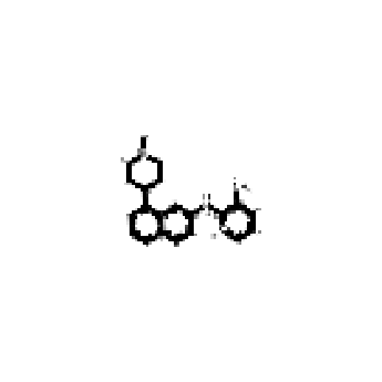 CN1CCC(c2cccc3ccc(Nc4ncccc4N)cc23)CC1